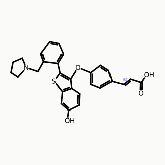 O=C(O)/C=C/c1ccc(Oc2c(-c3ccccc3CN3CCCC3)sc3cc(O)ccc23)cc1